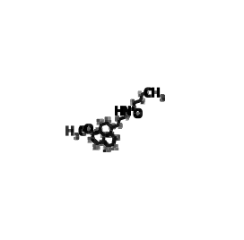 CCCCC(=O)NCCCC1CCc2c(OC)ccc3cccc1c23